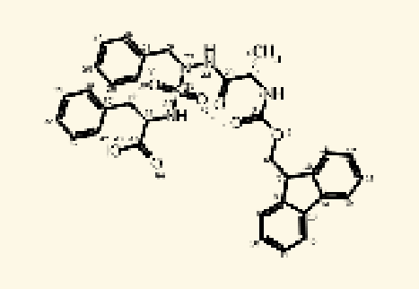 C[C@H](NC(=O)OCC1c2ccccc2-c2ccccc21)C(=O)NN(Cc1ccccc1)S(=O)(=O)N[C@H](Cc1ccccc1)C(=O)O